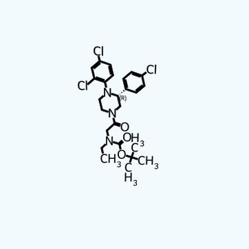 CCN(CC(=O)N1CCN(c2ccc(Cl)cc2Cl)[C@H](c2ccc(Cl)cc2)C1)C(=O)OC(C)(C)C